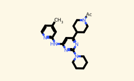 CC(=O)N1CCC(c2cc(Nc3cc(C)ccn3)nc(N3CCCCC3)n2)CC1